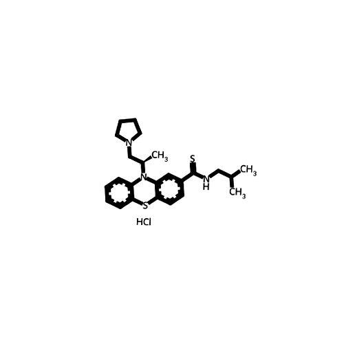 CC(C)CNC(=S)c1ccc2c(c1)N([C@H](C)CN1CCCC1)c1ccccc1S2.Cl